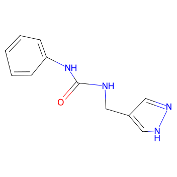 O=C(NCc1cn[nH]c1)Nc1ccccc1